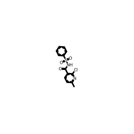 Cc1ccc(C(=O)NS(=O)(=O)c2ccccc2)c(Cl)n1